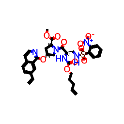 C=CCCCOC(=O)N[C@@H](CNS(=O)(=O)c1ccccc1[N+](=O)[O-])C(=O)N1C[C@H](Oc2nccc3ccc(C=C)cc23)C[C@H]1C(=O)OC